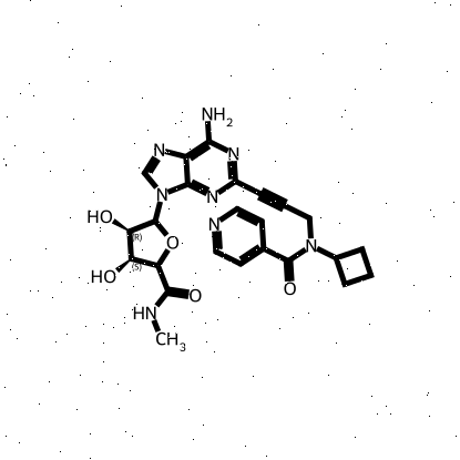 CNC(=O)C1OC(n2cnc3c(N)nc(C#CCN(C(=O)c4ccncc4)C4CCC4)nc32)[C@H](O)[C@@H]1O